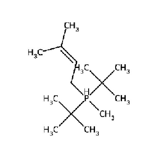 CC(C)=CC[PH](C)(C(C)(C)C)C(C)(C)C